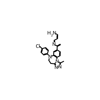 C=C(/N=C\C=C/N)c1ccc2c(c1)N(c1ccc(Cl)cc1)CCc1nnc(C)n1-2